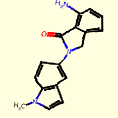 Cn1ccc2cc(N3Cc4cccc(N)c4C3=O)ccc21